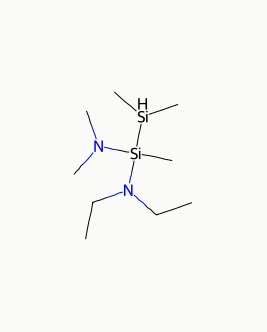 CCN(CC)[Si](C)(N(C)C)[SiH](C)C